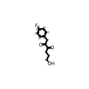 O=C(CCCO)C(=O)Cc1ccc(F)cc1